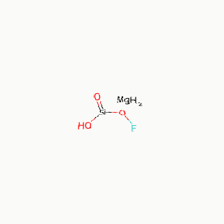 O=[Si](O)OF.[MgH2]